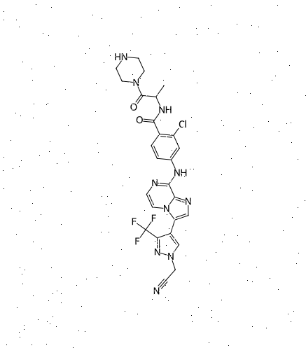 CC(NC(=O)c1ccc(Nc2nccn3c(-c4cn(CC#N)nc4C(F)(F)F)cnc23)cc1Cl)C(=O)N1CCNCC1